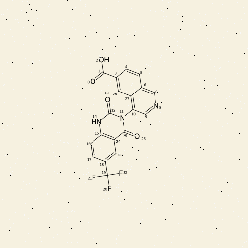 O=C(O)c1ccc2cncc(-n3c(=O)[nH]c4ccc(C(F)(F)F)cc4c3=O)c2c1